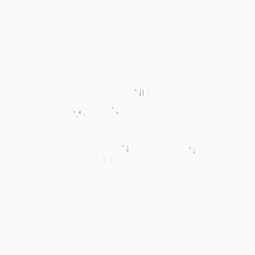 CCN1Cc2cc(C#N)ccc2C(C2CNCCN2COC)C1